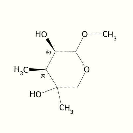 COC1OCC(C)(O)[C@@H](C)[C@H]1O